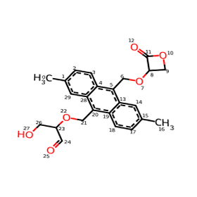 Cc1ccc2c(COC3COC3=O)c3cc(C)ccc3c(COC(C=O)CO)c2c1